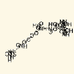 CCN1C(=O)N[C@H]2CS[C@@H](CCCCC(=O)NCCOCCOCCOCCOCCC(=O)N[C@@H](CCCCNC(=O)c3ccc(-c4c5ccc(=N)c(S(=O)(=O)O)c-5oc5c(S(=O)(=O)O)c(N)ccc45)c(C(=O)O)c3)C(=O)O)[C@H]21